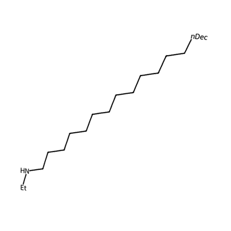 CCCCCCCCCCCCCCCCCCCCCCCNCC